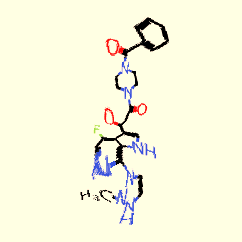 CN1NC=CN1c1ncc(F)c2c(C(=O)C(=O)N3CCN(C(=O)c4ccccc4)CC3)c[nH]c12